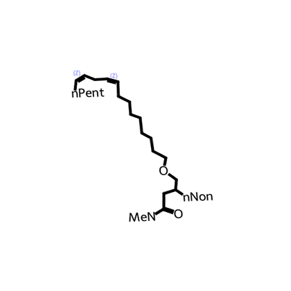 CCCCC/C=C\C/C=C\CCCCCCCCOCC(CCCCCCCCC)CC(=O)NC